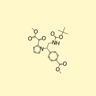 COC(=O)C(=O)c1cccn1C(CNC(=O)OC(C)(C)C)c1ccc(C(=O)OC)cc1